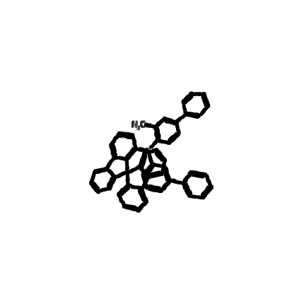 Cc1cc(-c2ccccc2)ccc1N(c1cccc(-c2ccccc2)c1)c1cccc2c1C1(c3ccccc3-c3ccccc31)c1ccccc1-2